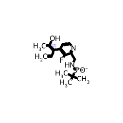 C=C/C(=C(\C)O)c1ccnc(CN[S@+]([O-])C(C)(C)C)c1F